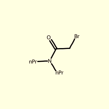 CCCN(CCC)C(=O)CBr